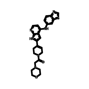 O=C(CN1CCOCC1)N1CC=C(c2cc3c(Nc4ccc5ncsc5c4)ccnc3[nH]2)CC1